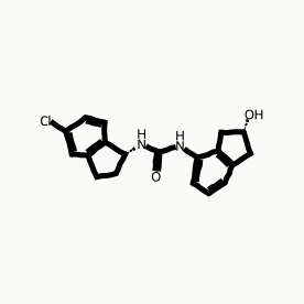 O=C(Nc1cccc2c1C[C@H](O)C2)N[C@@H]1CCc2cc(Cl)ccc21